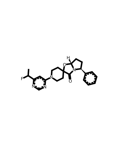 CC(F)c1cc(N2CCC3(CC2)O[C@@H]2CC[C@@H](c4ccccc4)N2C3=O)ncn1